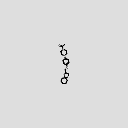 CC(=O)N1CCN(c2ccc(OCC3COC4(CCCCC4)O3)cc2)CC1